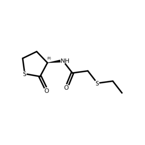 CCSCC(=O)N[C@@H]1CCSC1=O